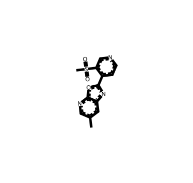 Cc1cnc2oc(-c3ccncc3S(C)(=O)=O)nc2c1